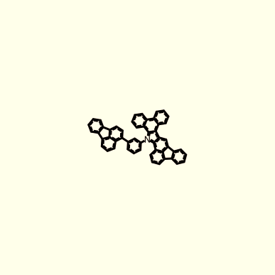 c1cc(-c2ccc3c4c(cccc24)-c2ccccc2-3)cc(-n2c3c4cccc5c4c(cc3c3c4ccccc4c4ccccc4c32)-c2ccccc2-5)c1